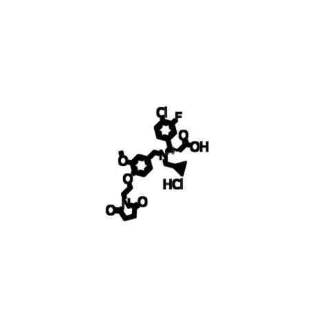 COc1cc(CN(CC2CC2)[C@@H](CC(=O)O)c2ccc(Cl)c(F)c2)ccc1OCCN1C(=O)CCC1=O.Cl